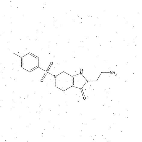 Cc1ccc(S(=O)(=O)N2CCc3c([nH]n(CCN)c3=O)C2)cc1